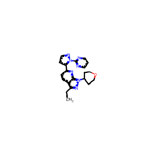 CCc1nn(C2CCOCC2)c2nc(-c3ccnn3-c3ncccn3)ccc12